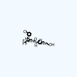 O=C(NCc1cc(C(F)(F)F)nn1-c1cccc(Cl)c1)Nc1ccc(CNCCO)nc1